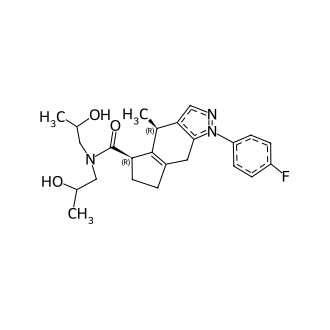 CC(O)CN(CC(C)O)C(=O)[C@@H]1CCC2=C1[C@@H](C)c1cnn(-c3ccc(F)cc3)c1C2